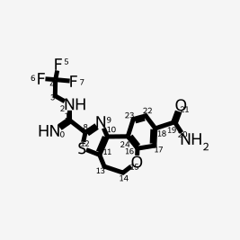 N=C(NCC(F)(F)F)c1nc2c(s1)CCOc1cc(C(N)=O)ccc1-2